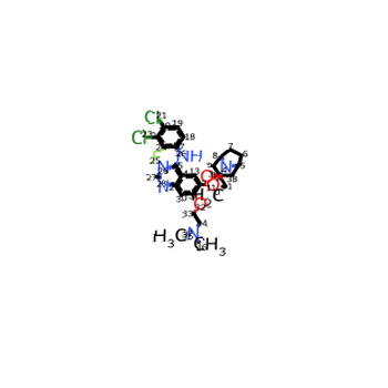 C=CC(=O)N1C2CCC1CC(Oc1cc3c(Nc4ccc(Cl)c(Cl)c4F)ncnc3cc1OCCN(C)C)C2